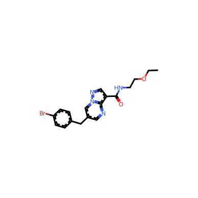 CCOCCNC(=O)c1cnn2cc(Cc3ccc(Br)cc3)cnc12